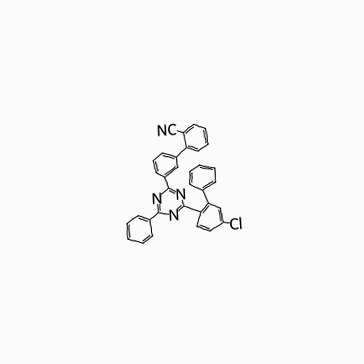 N#Cc1ccccc1-c1cccc(-c2nc(-c3ccccc3)nc(-c3ccc(Cl)cc3-c3ccccc3)n2)c1